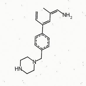 C=C/C(=C\C(C)=C/N)c1ccc(CN2CCNCC2)cc1